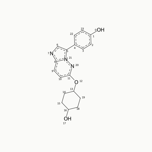 Oc1ccc(-c2cnc3ccc(OC4CCC(O)CC4)nn23)cc1